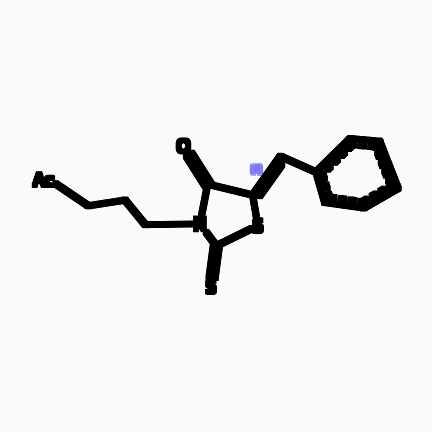 CC(=O)CCCN1C(=O)/C(=C/c2ccccc2)SC1=S